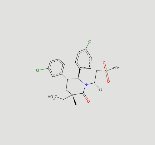 CCCS(=O)(=O)C[C@H](CC)N1C(=O)[C@](C)(CC(=O)O)C[C@H](c2cccc(Cl)c2)[C@H]1c1ccc(Cl)cc1